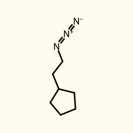 [N-]=[N+]=NCCC1CCCC1